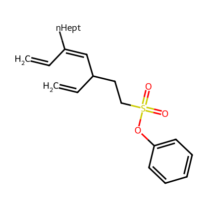 C=CC(=CC(C=C)CCS(=O)(=O)Oc1ccccc1)CCCCCCC